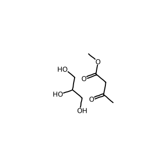 COC(=O)CC(C)=O.OCC(O)CO